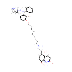 O=C(O)N(C(c1ccccc1)c1cccc(OCCCCCCCCCNC[C@H](O)c2ccc(O)c3[nH]c(=O)ccc23)c1Br)[C@H]1CN2CCC1CC2